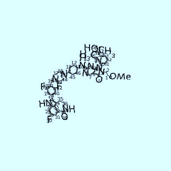 COCCn1c(=O)c2cnc(Nc3ccc(N4CCN(Cc5c(F)cc(-c6[nH]c7cc(F)cc8c7c6CCNC8=O)cc5F)CC4)cc3)nc2n1-c1cccc(C(C)(C)O)n1